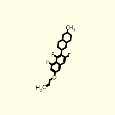 C=CCOc1cc(F)c2c(F)c(C3CCC4CC(C)CCC4C3)c(F)cc2c1